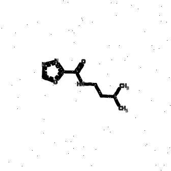 CC(C)CCNC(=O)c1nnco1